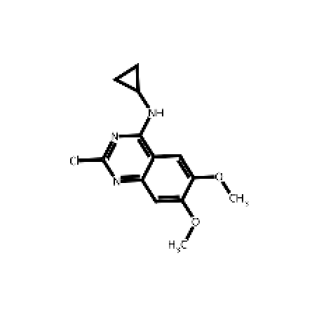 COc1cc2nc(Cl)nc(NC3CC3)c2cc1OC